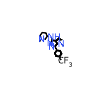 CN1CCC[C@@H](Nc2nnc(-c3ccc(C(F)(F)F)cc3)c3c2ccn3C)C1